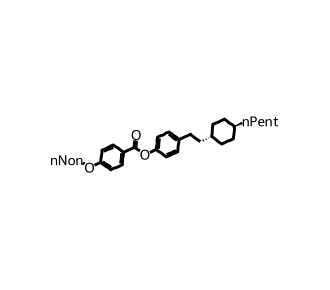 CCCCCCCCCOc1ccc(C(=O)Oc2ccc(CC[C@H]3CC[C@H](CCCCC)CC3)cc2)cc1